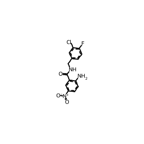 Nc1ccc([N+](=O)[O-])cc1C(=O)NCc1ccc(F)c(Cl)c1